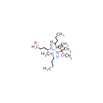 CCCCN(C)[P+](NC(C)(OC)OC)(N(C)CCCC)N(C)CCCC.[Br-]